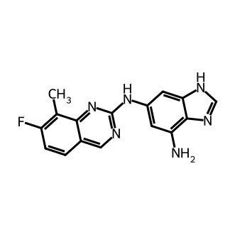 Cc1c(F)ccc2cnc(Nc3cc(N)c4nc[nH]c4c3)nc12